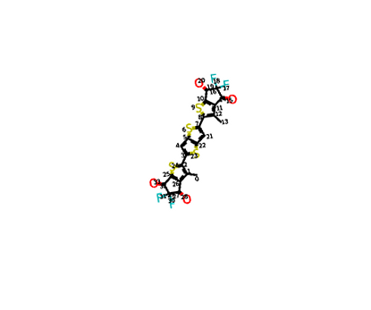 Cc1c(-c2cc3sc(-c4sc5c(c4C)C(=O)C(F)(F)C5=O)cc3s2)sc2c1C(=O)C(F)(F)C2=O